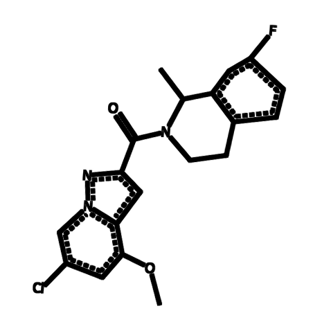 COc1cc(Cl)cn2nc(C(=O)N3CCc4ccc(F)cc4C3C)cc12